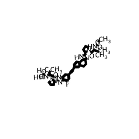 COC(=O)N[C@H](C(=O)N1CCCC1c1nc2c([nH]1)-c1ccc(C#Cc3cc(F)c4nc([C@@H]5CCCN5C(=O)[C@@H](NC(=O)O)C(C)C)[nH]c4c3)cc1CC2)C(C)C